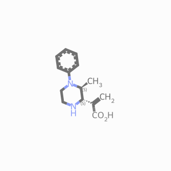 C=C(C(=O)O)[C@@H]1NCCN(c2ccccc2)[C@H]1C